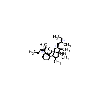 C=C/C=C(\C=C/C(C)C12C/C(=C/C(C)=C\C)C(=C)C1(NC)CC(C)C2C1=CC=CCC1)CC